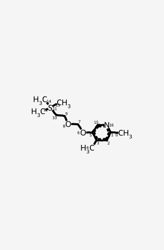 Cc1cc(C)c(OCOCCS(C)(C)C)cn1